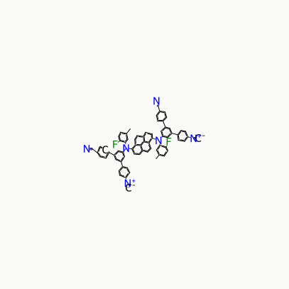 [C-]#[N+]c1ccc(-c2cc(-c3ccc(C#N)cc3)cc(N(c3cc(C)ccc3F)c3ccc4ccc5c(N(c6cc(-c7ccc(C#N)cc7)cc(-c7ccc([N+]#[C-])cc7)c6)c6cc(C)ccc6F)ccc6ccc3c4c65)c2)cc1